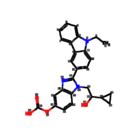 CCn1c2ccccc2c2cc(-c3nc4cc(OC(=O)O)ccc4n3CC(O)C3CC3)ccc21